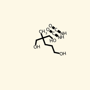 CC(CO)(CO)CCCO.N=C=O.N=C=O